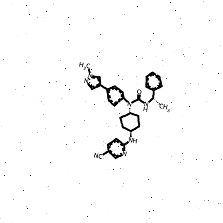 C[C@H](NC(=O)N(c1ccc(-c2cnn(C)c2)cc1)[C@H]1CC[C@H](Nc2ccc(C#N)cn2)CC1)c1ccccc1